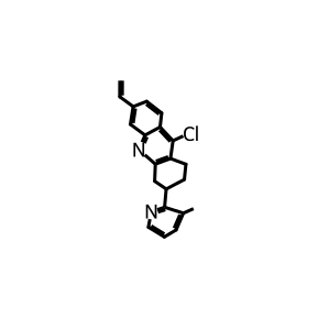 C=Cc1ccc2c(Cl)c3c(nc2c1)CC(c1ncccc1C)CC3